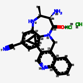 C[C@@H]1Nc2cc(C#N)ccc2N(Cc2c(C3CC3)cnc3ccccc23)C(=O)[C@H]1N.Cl.Cl